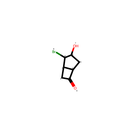 O=C1CC2C1CC(O)C2Br